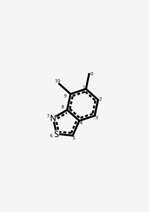 Cc1ccc2csnc2c1C